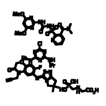 C#CCN1C(=O)COc2cc(F)c(/N=c3\snc4n3CC(C)(C)C4)cc21.CCNc1nc(Cl)nc(NC(C)C)n1.COc1cc(OC)nc(NC(=O)NS(=O)(=O)c2ncccc2C(=O)N(C)C)n1.O=C(O)CNCP(=O)(O)O